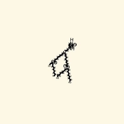 CCCCCCCCC(CC)OC(=O)CCCCCCCN(CCCCCCCC(=O)OC(CCCCCCCC)CCCCCCCC)CCCNc1cc[nH]c(=O)n1